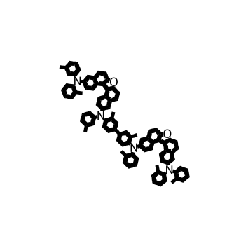 Cc1cccc(N(c2ccc3c(ccc4oc5ccc6cc(N(c7cccc(C)c7)c7ccc(-c8ccc(N(c9ccc%10c(ccc%11oc%12ccc%13cc(N(c%14ccccc%14C)c%14ccccc%14C)ccc%13c%12c%11%10)c9)c9ccccc9C)c(C)c8)cc7C)ccc6c5c43)c2)c2ccccc2C)c1